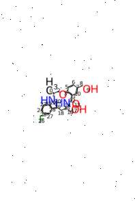 CCCOc1ccc(CO)cc1C(=O)NC(CO)Cc1c[nH]c2ccc(F)cc12